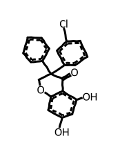 O=C1c2c(O)cc(O)cc2OCC1(c1ccccc1)c1cccc(Cl)c1